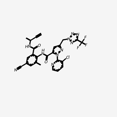 C#CC(C)NC(=O)c1cc(C#N)cc(C)c1NC(=O)c1cc(Cn2nnc(C(F)(F)F)n2)nn1-c1ncccc1Cl